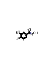 O/N=C(\Cl)c1ccc(F)c(Br)c1